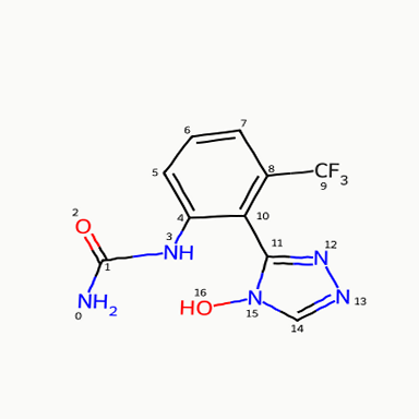 NC(=O)Nc1cccc(C(F)(F)F)c1-c1nncn1O